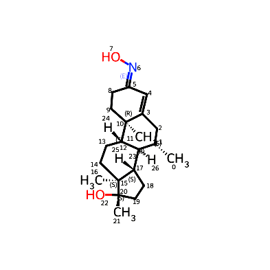 C[C@H]1CC2=C/C(=N/O)CC[C@]2(C)[C@H]2CC[C@@]3(C)[C@@H](CC[C@]3(C)O)[C@H]12